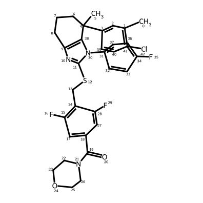 Cc1cc(C2(C)CCCc3nc(SCc4c(F)cc(C(=O)N5CCOCC5)cc4F)n(-c4ccc(F)cc4)c32)ccc1Cl